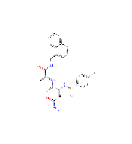 Cc1ccc([S+]([O-])N[C@@H](CC(N)=O)C(=O)N[C@@H](C)C(=O)NCc2cccc3ccccc23)cc1